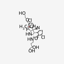 CC(C)(CCOCCO)C[C@@H]1N[C@@H](C(=O)NCC[C@H](O)CO)[C@H](c2cccc(Cl)c2F)[C@@]1(C#N)c1ccc(Cl)cc1F